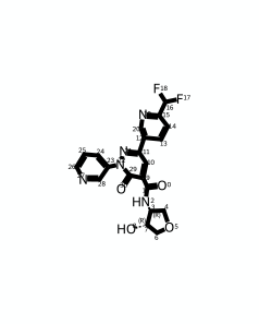 O=C(N[C@@H]1COC[C@@H]1O)c1cc(-c2ccc(C(F)F)nc2)nn(-c2cccnc2)c1=O